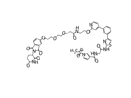 CS(=O)(=O)n1ccc(C(=O)NCC(=O)Nc2nc(-c3cccc(-c4ccnc(OCCNC(=O)CCOCCOCCOc5ccc6c(c5)C(=O)N(C5CCC(=O)NC5=O)C6=O)c4)c3)cs2)c1